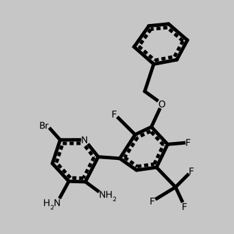 Nc1cc(Br)nc(-c2cc(C(F)(F)F)c(F)c(OCc3ccccc3)c2F)c1N